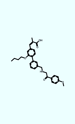 CCCCOc1cc(C=C(C)C(=O)O)ccc1-c1cccc(CNCC(=O)c2ccc(OC)cc2)c1